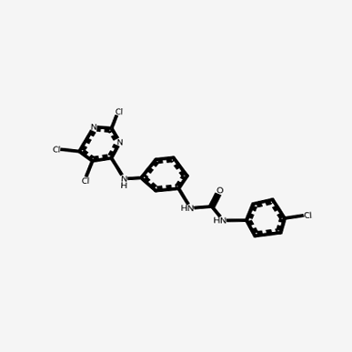 O=C(Nc1ccc(Cl)cc1)Nc1cccc(Nc2nc(Cl)nc(Cl)c2Cl)c1